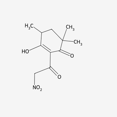 CC1CC(C)(C)C(=O)C(C(=O)C[N+](=O)[O-])=C1O